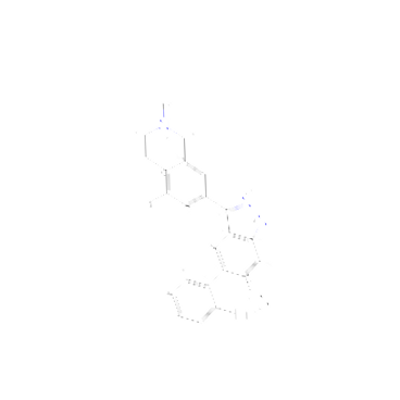 CCc1ccccc1-c1cc2c(-c3cc(C)c4c(c3)CN(C)CC4)n[nH]c2cc1C#N